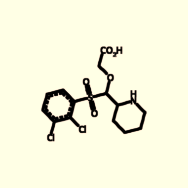 O=C(O)COC(C1CCCCN1)S(=O)(=O)c1cccc(Cl)c1Cl